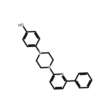 Oc1ccc(N2CCN(c3cccc(-c4ccccc4)n3)CC2)cc1